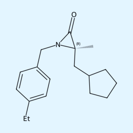 CCc1ccc(CN2C(=O)[C@@]2(C)CC2CCCC2)cc1